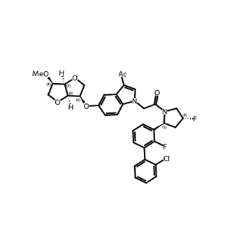 CO[C@@H]1CO[C@H]2[C@@H]1OC[C@H]2Oc1ccc2c(c1)c(C(C)=O)cn2CC(=O)N1C[C@H](F)C[C@H]1c1cccc(-c2ccccc2Cl)c1F